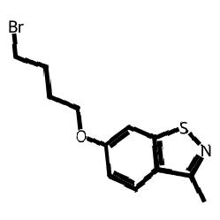 Cc1nsc2cc(OCCCCBr)ccc12